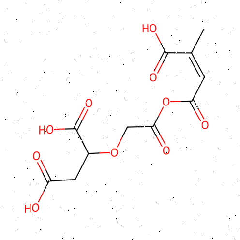 C/C(=C/C(=O)OC(=O)COC(CC(=O)O)C(=O)O)C(=O)O